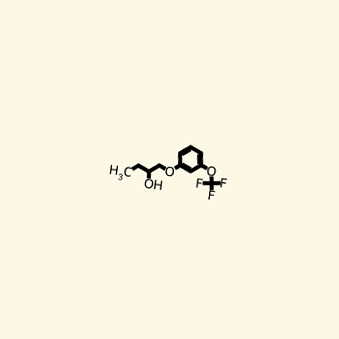 CCC(O)COc1cccc(OC(F)(F)F)c1